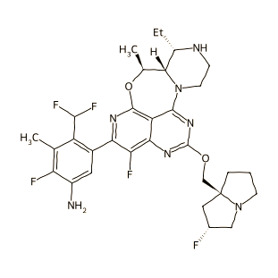 CC[C@@H]1NCCN2c3nc(OC[C@@]45CCCN4C[C@H](F)C5)nc4c(F)c(-c5cc(N)c(F)c(C)c5C(F)F)nc(c34)O[C@@H](C)[C@H]12